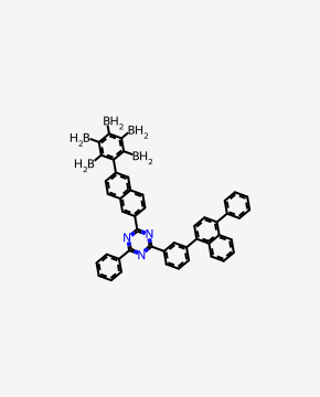 Bc1c(B)c(B)c(-c2ccc3cc(-c4nc(-c5ccccc5)nc(-c5cccc(-c6ccc(-c7ccccc7)c7ccccc67)c5)n4)ccc3c2)c(B)c1B